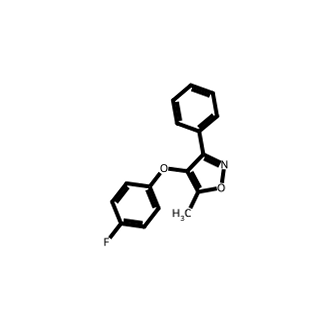 Cc1onc(-c2ccccc2)c1Oc1ccc(F)cc1